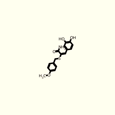 COc1ccc(CSC(=Cc2ccc(O)c(O)c2)C(N)=O)cc1